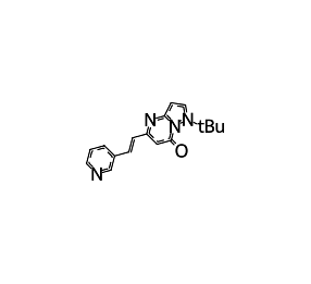 CC(C)(C)n1ccc2nc(/C=C/c3cccnc3)cc(=O)n21